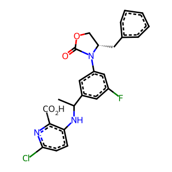 CC(Nc1ccc(Cl)nc1C(=O)O)c1cc(F)cc(N2C(=O)OC[C@@H]2Cc2ccccc2)c1